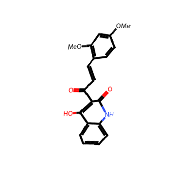 COc1ccc(C=CC(=O)c2c(O)c3ccccc3[nH]c2=O)c(OC)c1